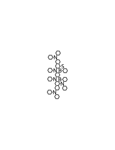 c1ccc(N(c2ccccc2)c2ccc3c4c5c(cc3c2)N(c2ccccc2)c2cc3c(cc2B5c2ccccc2S4)B2c4ccccc4N(c4ccccc4)c4c2c(cc2cc(N(c5ccccc5)c5ccccc5)ccc42)N3c2ccccc2)cc1